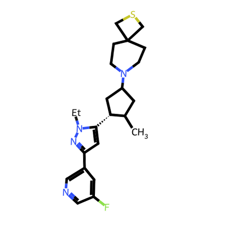 CCn1nc(-c2cncc(F)c2)cc1[C@@H]1CC(N2CCC3(CC2)CSC3)CC1C